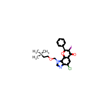 C[Si](C)(C)CCOCn1cnc2c(Cl)cc3c(=O)c(I)c(-c4ccccc4)oc3c21